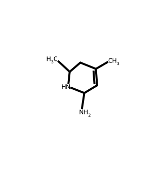 CC1=CC(N)NC(C)C1